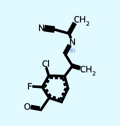 C=C(C#N)/N=C/C(=C)c1ccc(C=O)c(F)c1Cl